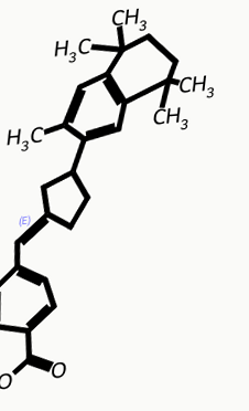 Cc1cc2c(cc1C1CC/C(=C\c3ccc(C(=O)O)cc3)C1)C(C)(C)CCC2(C)C